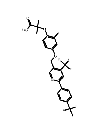 Cc1cc(OCc2cnc(-c3ccc(C(F)(F)F)cc3)cc2C(F)(F)F)ccc1OC(C)(C)C(=O)O